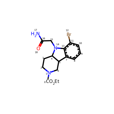 CCOC(=O)N1CCC2C(C1)c1cccc(Br)c1N2CC(N)=O